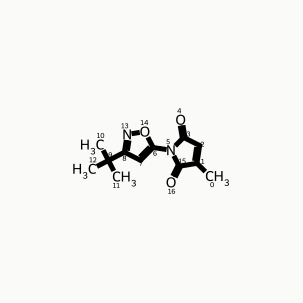 CC1=CC(=O)N(c2cc(C(C)(C)C)no2)C1=O